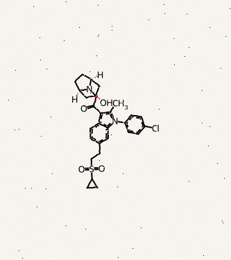 Cc1c(C(=O)CN2[C@@H]3CC[C@H]2C[C@H](O)C3)c2ccc(CCS(=O)(=O)C3CC3)cc2n1-c1ccc(Cl)cc1